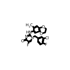 Cc1cc2c(cc1Nc1nc(=O)c(F)cn1Cc1ccc(F)c(Cl)c1)OCCO2